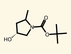 CC1C[C@@H](O)CN1C(=O)OC(C)(C)C